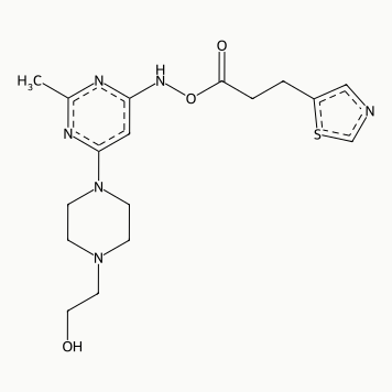 Cc1nc(NOC(=O)CCc2cncs2)cc(N2CCN(CCO)CC2)n1